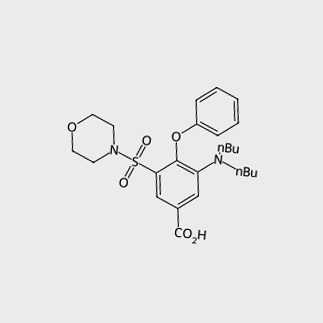 CCCCN(CCCC)c1cc(C(=O)O)cc(S(=O)(=O)N2CCOCC2)c1Oc1ccccc1